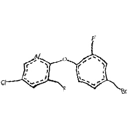 Fc1cc(Br)ccc1Oc1ncc(Cl)cc1F